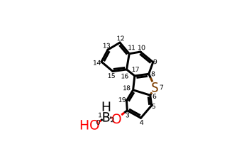 OBOc1ccc2sc3ccc4ccccc4c3c2c1